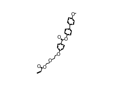 C=CC(=O)OCCOCCOc1ccc(C(=O)Oc2ccc(-c3ccc(OC)cc3)cc2)cc1